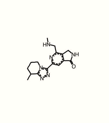 CNCc1nc(-c2nnc3n2CCCC3C)cc2c1CNC2=O